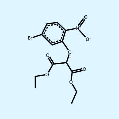 CCOC(=O)C(Oc1cc(Br)ccc1[N+](=O)[O-])C(=O)OCC